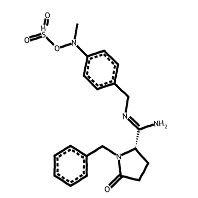 CN(O[SH](=O)=O)c1ccc(CN=C(N)[C@@H]2CCC(=O)N2Cc2ccccc2)cc1